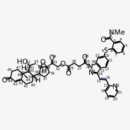 CNC(=O)c1ccccc1Sc1ccc2c(/C=C/c3ccccn3)nn(C(=O)CCC(=O)OCC(=O)[C@@]34CC[C@H]5[C@@H]6CCC7=CC(=O)CC[C@]7(C)[C@H]6[C@@H](O)C[C@@]53O4)c2c1